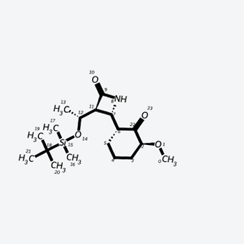 CO[C@H]1CCC[C@H]([C@H]2NC(=O)[C@@H]2[C@@H](C)O[Si](C)(C)C(C)(C)C)C1=O